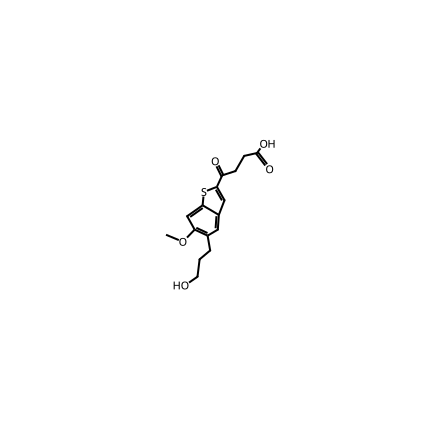 COc1cc2sc(C(=O)CCC(=O)O)cc2cc1CCCO